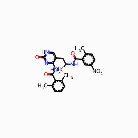 Cc1ccc([N+](=O)[O-])cc1C(=O)NC(Cc1c[nH]c(=O)nc1NC(=O)c1c(C)cccc1C)C(=O)O